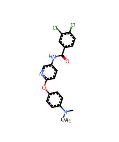 CC(=O)ON(C)c1ccc(Oc2ccc(NC(=O)c3ccc(Cl)c(Cl)c3)cn2)cc1